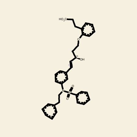 O=C(O)CCc1ccccc1OCC[C@@H](O)/C=C/c1cccc(N(CCc2ccccc2)S(=O)(=O)c2ccccc2)c1